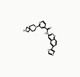 O=C(Nc1cc2cc(-c3cnco3)ccc2nn1)c1ccnc(N2CCC3(CC2)CNC3)c1